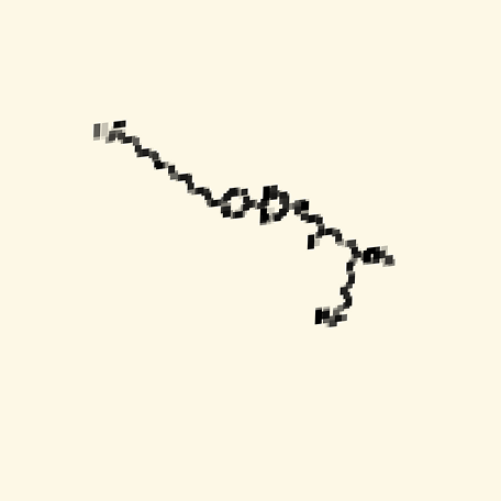 CCCCCCCCCCCCc1ccc(-c2ncc(OCCC(F)CCCC(C)CCCCC)cn2)cc1